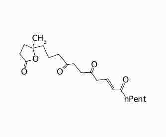 CCCCCC(=O)C=CCC(=O)CCC(=O)CCCC1(C)CCC(=O)O1